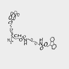 CC(C)(CCOC(=O)NCCOCCOCCNC(=O)OCC1c2ccccc2-c2ccccc21)SSCOCCCCOC(=O)ON1C(=O)CCC1=O